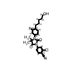 CC1(C)C(=O)N(c2ccc(C#N)c(Cl)c2)C(=O)N1c1ccc(CCCCCO)c(F)c1